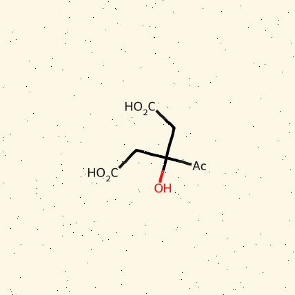 CC(=O)C(O)(CC(=O)O)CC(=O)O